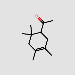 CC(=O)C1CC(C)=C(C)CC1(C)C